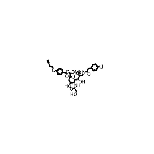 C#CCCOc1ccc(CO[C@]2(C(=O)OC)C[C@H](O)[C@@H](NC(=O)CO)[C@H]([C@H](O)[C@H](O)CNC(=O)Cc3ccc(Cl)cc3)O2)cc1